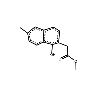 COC(=O)Cc1ccc2cc(C)ccc2c1O